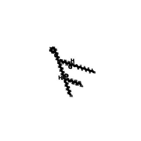 CCCCCCCCCCCNC(=O)CCCCCN(CCCCCCCC(=O)NC(CCCCCCCC)CCCCCCCC)CCOCc1ccccc1